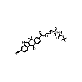 CC(C)(C)OC(=O)NS(=O)(=O)NCCNC(=O)c1ccc2c(c1)C(C)(C)c1[nH]c3cc(C#N)ccc3c1C2=O